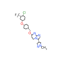 Cn1cc(-c2cnc3nc(OCc4ccc(Oc5ccc(Cl)c(C(F)(F)F)c5)cc4)ccn23)cn1